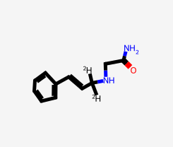 [2H]C([2H])(C=Cc1ccccc1)NCC(N)=O